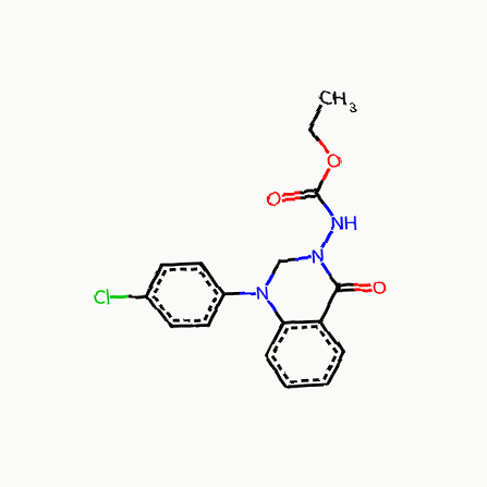 CCOC(=O)NN1CN(c2ccc(Cl)cc2)c2ccccc2C1=O